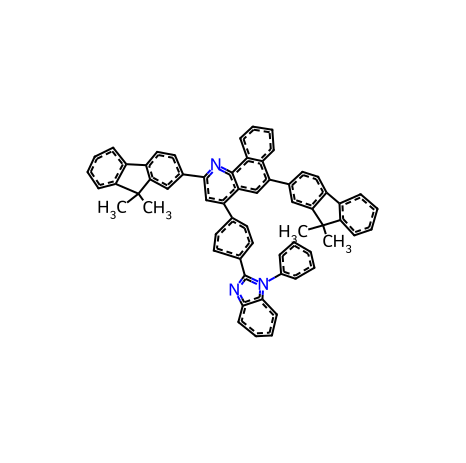 CC1(C)c2ccccc2-c2ccc(-c3cc(-c4ccc(-c5nc6ccccc6n5-c5ccccc5)cc4)c4cc(-c5ccc6c(c5)C(C)(C)c5ccccc5-6)c5ccccc5c4n3)cc21